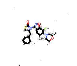 C[C@@H]1CN(c2c(C=O)cc3c(-n4c(Cc5ccccc5)csc4=O)noc3c2F)C[C@@H](C)O1